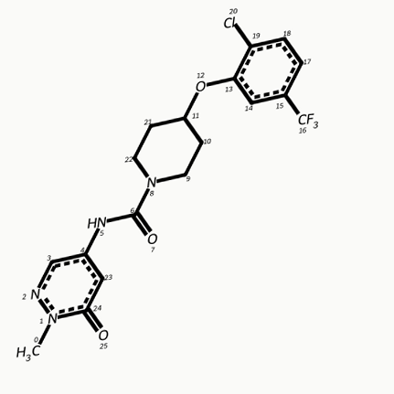 Cn1ncc(NC(=O)N2CCC(Oc3cc(C(F)(F)F)ccc3Cl)CC2)cc1=O